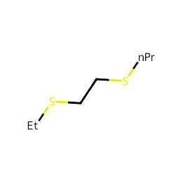 [CH2]CCSCCSC[CH2]